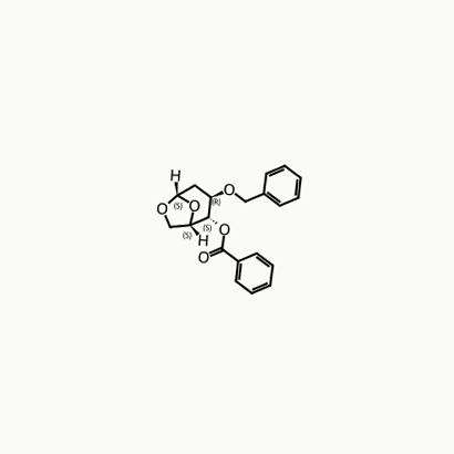 O=C(O[C@@H]1[C@@H]2CO[C@H](C[C@H]1OCc1ccccc1)O2)c1ccccc1